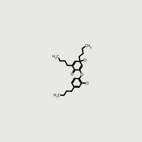 CCCCC1=CC(Cl)(CCCC)C=C(Oc2ccc(CCCC)cc2Cl)C1=O